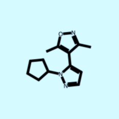 Cc1noc(C)c1-c1ccnn1C1CCCC1